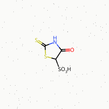 O=C1NC(=S)SC1S(=O)(=O)O